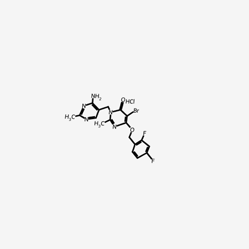 Cc1ncc(Cn2c(C)nc(OCc3ccc(F)cc3F)c(Br)c2=O)c(N)n1.Cl